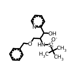 CC(C)(C)[S@@+]([O-])NC(COCc1ccccc1)C(O)c1ccccn1